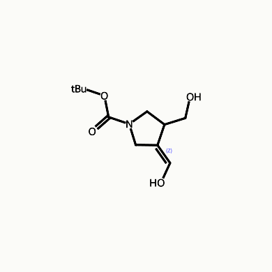 CC(C)(C)OC(=O)N1C/C(=C\O)C(CO)C1